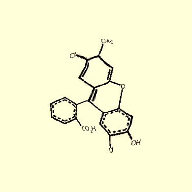 CC(=O)OC1C=C2Oc3cc(O)c(Cl)cc3C(c3ccccc3C(=O)O)=C2C=C1Cl